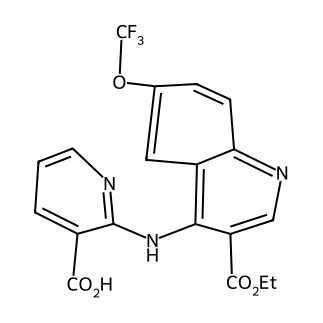 CCOC(=O)c1cnc2ccc(OC(F)(F)F)cc2c1Nc1ncccc1C(=O)O